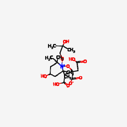 CC(C)(O)CO[N+]1(OC(CC(=O)O)(CC(=O)O)C(=O)[O-])C(C)(C)CC(O)CC1(C)C